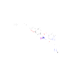 CN1CCC(Oc2ncccc2NS(=O)(=O)c2ccc3cc(CCC(=O)O)oc3c2)CC1